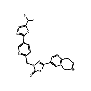 O=c1oc(-c2ccc3c(c2)CNCC3)nn1Cc1ccc(-c2nnc(C(F)F)o2)cn1